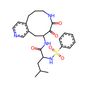 CC(C)CC(NS(=O)(=O)c1ccccc1)C(=O)NC1Cc2cnccc2CCCNC(=O)C1=O